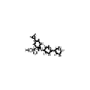 O=C(O)c1cc(C2CC2)ccc1Nc1ccc(-c2cccnc2)nc1